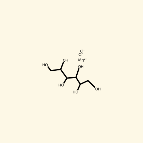 OCC(O)C(O)C(O)C(O)CO.[Cl-].[Cl-].[Mg+2]